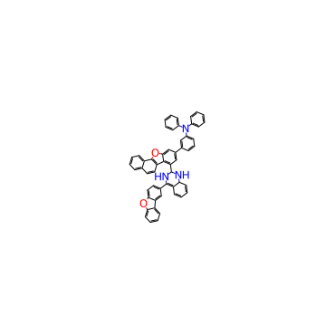 C1=CC2=C(c3ccc4oc5ccccc5c4c3)NC(c3cc(-c4cccc(N(c5ccccc5)c5ccccc5)c4)cc4oc5c6ccccc6ccc5c34)NC2C=C1